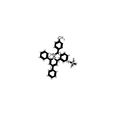 Cc1ccc(C(=O)NN2C(c3ccccc3)=CC(c3ccccc3)=CC2c2ccccc2)cc1.F[B-](F)(F)F